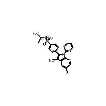 C[C@H](NS(=O)(=O)c1ccc(-c2c(C#N)c3cc(Br)cnc3n2-c2ncccn2)nc1)C(F)(F)F